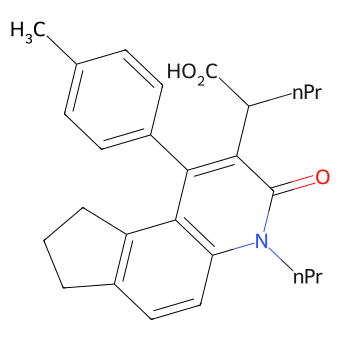 CCCC(C(=O)O)c1c(-c2ccc(C)cc2)c2c3c(ccc2n(CCC)c1=O)CCC3